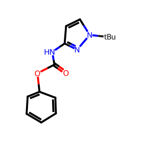 CC(C)(C)n1ccc(NC(=O)Oc2ccccc2)n1